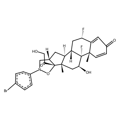 C[C@]12C=CC(=O)C=C1[C@@H](F)C[C@H]1[C@@H]3C[C@H]4CN(c5ccc(Br)cc5)O[C@@]4(C(=O)CO)[C@@]3(C)C[C@H](O)[C@@]12F